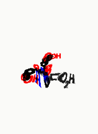 O=C(O)C[C@@H]1CCCCN1C(=O)[C@@H]1C[C@@H](NC(=O)c2ccc3c(c2)B(O)OC3)CN1C(=O)c1ccc2c(c1)B(O)OC2